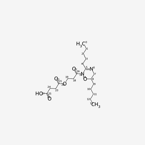 CCCCCC1=NCC(CCCCC)ON1C(=O)CCOC(=O)CCC(=O)O